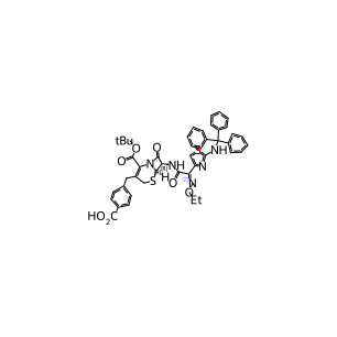 CCO/N=C(\C(=O)N[C@@H]1C(=O)N2C(C(=O)OC(C)(C)C)=C(Cc3ccc(C(=O)O)cc3)CS[C@H]12)c1csc(NC(c2ccccc2)(c2ccccc2)c2ccccc2)n1